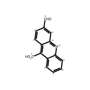 O=Cc1ccc2c(C(=O)O)c3ccccc3nc2c1